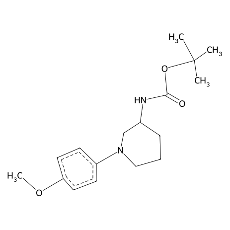 COc1ccc(N2CCCC(NC(=O)OC(C)(C)C)C2)cc1